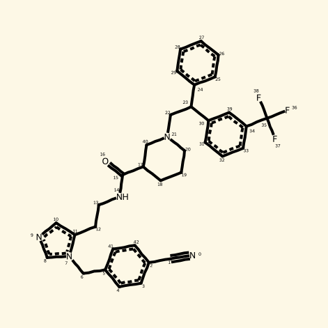 N#Cc1ccc(Cn2cncc2CCNC(=O)C2CCCN(CC(c3ccccc3)c3cccc(C(F)(F)F)c3)C2)cc1